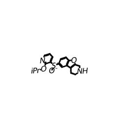 CC(C)Oc1ncccc1[S+]([O-])c1ccc2oc3c(c2c1)CCNC3